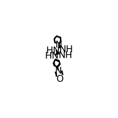 N=C(NC(=N)N1CCCCC1)Nc1ccc(N2CCOCC2)cc1